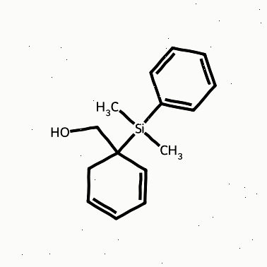 C[Si](C)(c1ccccc1)C1(CO)C=CC=CC1